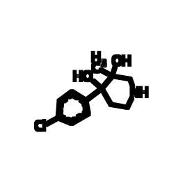 CC1(O)CNCCC1(O)c1ccc(Cl)cc1